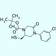 CC(C)(C)OC(=O)N1CC(=O)N(c2cccc(Cl)c2)C[C@H]1CS